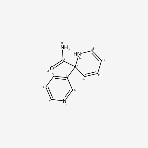 NC(=O)C1(c2cccnc2)C=CC=CN1